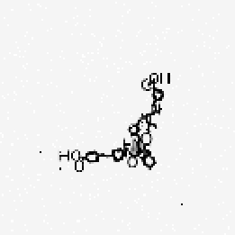 CCC(CC)N(CCN(C)Cc1cccc(C(=O)O)c1)Cc1cccc(C(=O)Nc2sc3c(c2C(=O)Nc2ccc(CCc4ccc(C(=O)O)cc4)cc2)CCCC3)c1